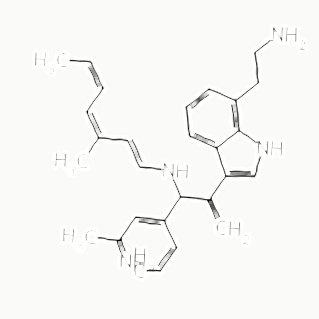 C=C(c1c[nH]c2c(CCN)cccc12)C(N/C=C/C(C)=C\C=C/C)C(/C=C\C)=C/C(C)=N